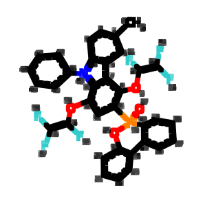 Cc1ccc2c(c1)c1c(OC(F)=C(F)F)c(P3(=O)Oc4ccccc4-c4ccccc43)cc(OC(F)=C(F)F)c1n2-c1ccccc1